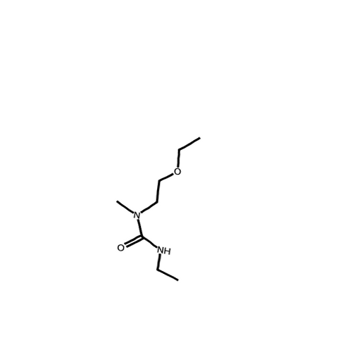 CCNC(=O)N(C)CCOCC